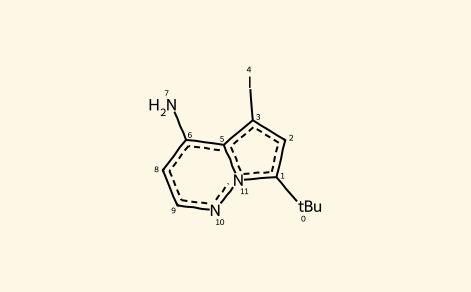 CC(C)(C)c1cc(I)c2c(N)ccnn12